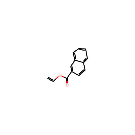 C=COC(=O)c1ccc2ccccc2c1